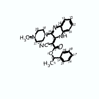 CC(OC(=O)/C(C#N)=C1\Nc2ccccc2N=C1N1CCN(C)CC1)c1ccccc1